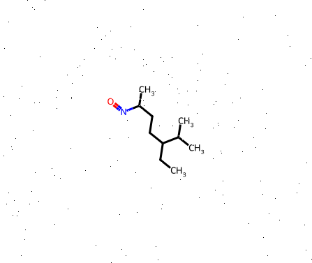 CCC(CCC(C)N=O)C(C)C